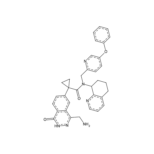 NCc1n[nH]c(=O)c2ccc(C3(C(=O)N(Cc4ccc(Oc5ccccc5)cn4)C4CCCc5cccnc54)CC3)cc12